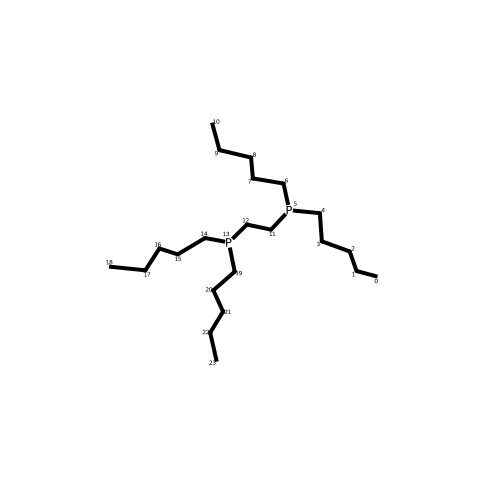 CCCCCP(CCCCC)CCP(CCCCC)CCCCC